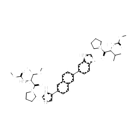 COC(=O)N[C@H](C(=O)N1CCC[C@H]1c1nc2ccc(-c3ccc4cc(-c5cnc([C@@H]6CCCN6C(=O)[C@@H](NC(=O)OC)[C@@H](C)OC)[nH]5)ccc4c3)cc2[nH]1)C(C)C